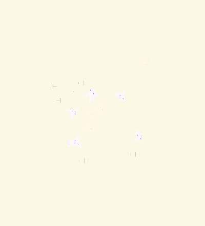 Cc1ncsc1-c1ccc([C@H](C)NC(=O)[C@@H]2CCCN2C(=O)C(NC(=O)c2nc3ccc(Br)cc3s2)C(C)(C)C)cc1